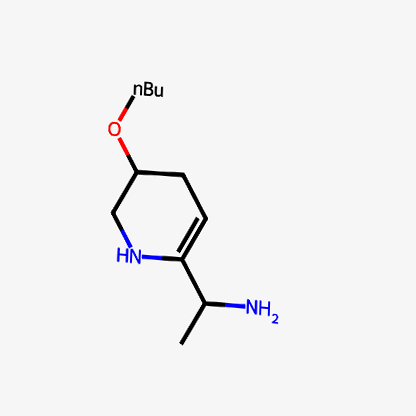 CCCCOC1CC=C(C(C)N)NC1